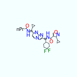 CCCC(=O)N[C@@H](c1ccn2cc([C@@H](NC(=O)c3conc3C3CC3)C3CCC(F)(F)CC3)nc2n1)C1CC1